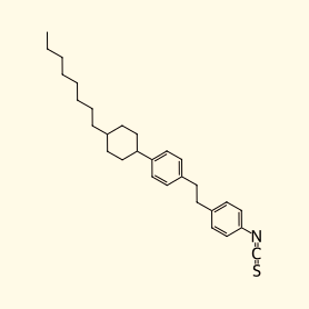 CCCCCCCCC1CCC(c2ccc(CCc3ccc(N=C=S)cc3)cc2)CC1